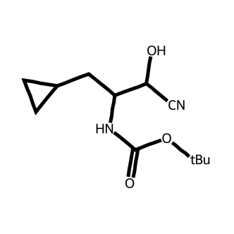 CC(C)(C)OC(=O)NC(CC1CC1)C(O)C#N